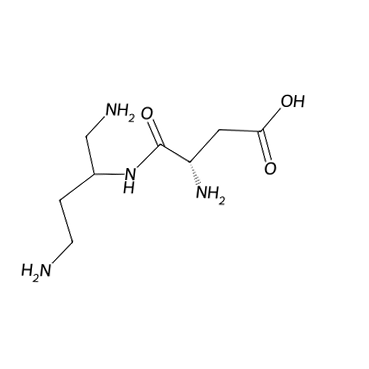 NCCC(CN)NC(=O)[C@@H](N)CC(=O)O